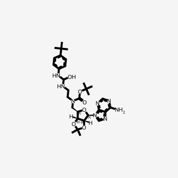 CC(C)(C)OC(=O)N(CCNC(O)Nc1ccc(C(C)(C)C)cc1)C[C@H]1O[C@@H](n2cnc3c(N)ncnc32)[C@@H]2OC(C)(C)O[C@@H]21